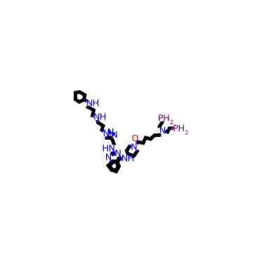 O=C(CCCCCN(CCP)CCP)N1CCC(Nc2nc(NCc3cn(CCCNCCCNC4CCCCC4)nn3)nc3ccccc23)CC1